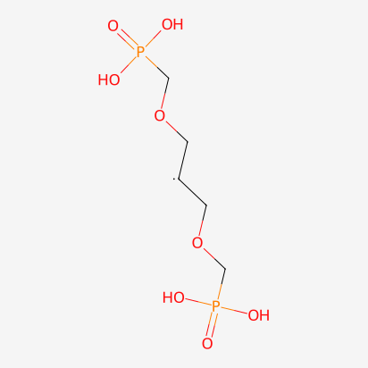 O=P(O)(O)COC[CH]COCP(=O)(O)O